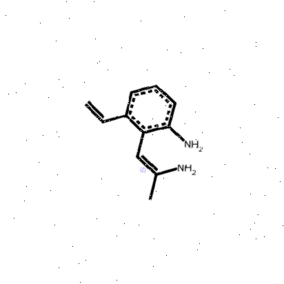 C=Cc1cccc(N)c1/C=C(/C)N